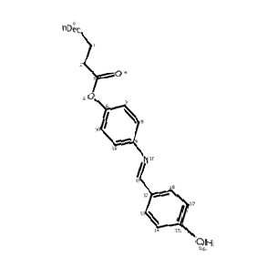 CCCCCCCCCCCCC(=O)Oc1ccc(N=Cc2ccc(O)cc2)cc1